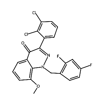 COc1cccc2c(=O)c(-c3cccc(Cl)c3Cl)nn(Cc3ccc(F)cc3F)c12